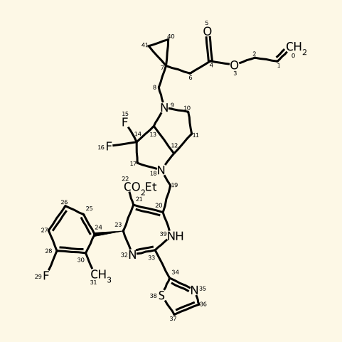 C=CCOC(=O)CC1(CN2CCC3C2C(F)(F)CN3CC2=C(C(=O)OCC)[C@H](c3cccc(F)c3C)N=C(c3nccs3)N2)CC1